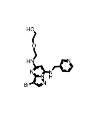 OCCOCCNc1cc(NCc2cccnc2)n2ncc(Br)c2n1